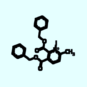 Cc1ccc(C(=O)OCc2ccccc2)c(C(=O)OCc2ccccc2)[n+]1I